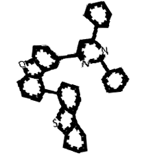 c1ccc(-c2cc(-c3ccc4oc5cccc(-c6cccc7c6sc6ccccc67)c5c4c3)nc(-c3ccccc3)n2)cc1